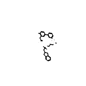 CN(C[C@H](O)CNC(C)(C)CC1Cc2ccccc2C1)S(=O)(=O)c1cccc(-c2ccc(F)c(CC(=O)O)c2)c1